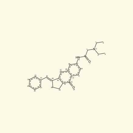 CCN(CC)CC(=O)Nc1ccc2c(=O)c3c(oc2c1)C(=Cc1ccccc1)CC3